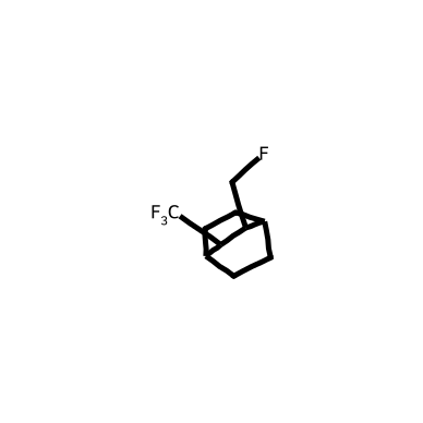 FCC1C2CCC(CC2)C1C(F)(F)F